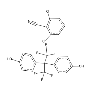 N#Cc1c(Cl)cccc1Cl.Oc1ccc(C(c2ccc(O)cc2)(C(F)(F)F)C(F)(F)F)cc1